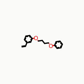 C=Cc1cccc(OCCCCOc2ccccc2)c1